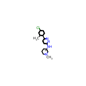 Cc1cc(Cl)ccc1-c1ccc(N[C@@H]2CCCN(C)C2)nn1